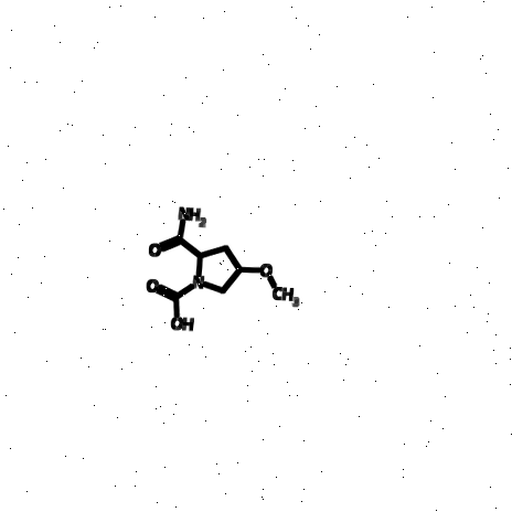 COC1CC(C(N)=O)N(C(=O)O)C1